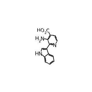 Nc1c(C(=O)O)ccnc1-c1c[nH]c2ccccc12